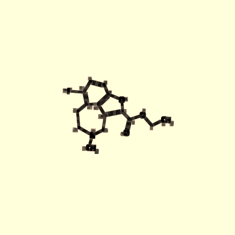 CCOC(=O)c1oc2ccc(F)c3c2c1CN(C)CC3